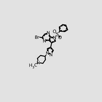 CN1CCC(n2cc(-c3cn(S(=O)(=O)c4ccccc4)c4ncc(Br)nc34)cn2)CC1